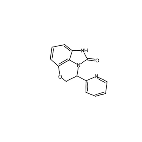 O=c1[nH]c2cccc3c2n1C(c1ccccn1)CO3